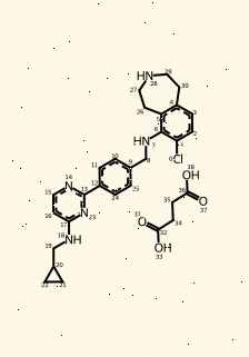 Clc1ccc2c(c1NCc1ccc(-c3nccc(NCC4CC4)n3)cc1)CCNCC2.O=C(O)CCC(=O)O